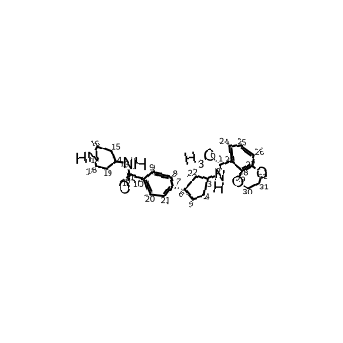 C[C@@H](NC1CC[C@H](c2ccc(C(=O)NC3CCNCC3)cc2)C1)c1cccc2c1OCCO2